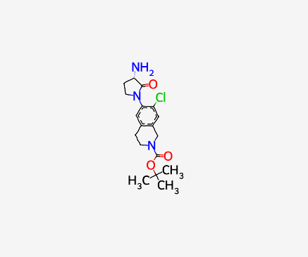 CC(C)(C)OC(=O)N1CCc2cc(N3CC[C@H](N)C3=O)c(Cl)cc2C1